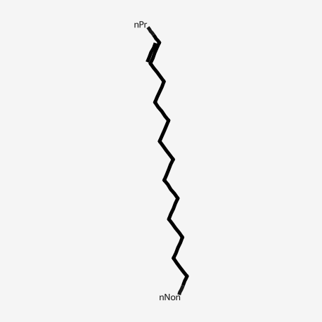 CCCC=CCCCCCCCCCCCCCCCCCCCC